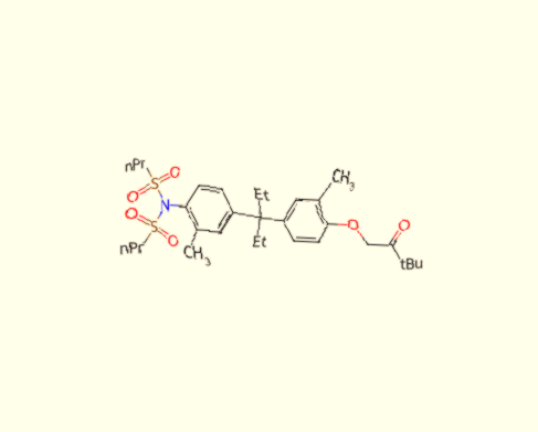 CCCS(=O)(=O)N(c1ccc(C(CC)(CC)c2ccc(OCC(=O)C(C)(C)C)c(C)c2)cc1C)S(=O)(=O)CCC